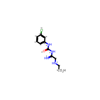 N=C(CNCC(=O)O)NC(=O)Nc1cccc(Cl)c1